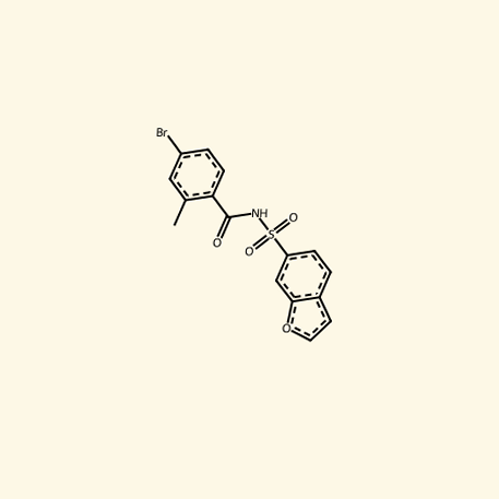 Cc1cc(Br)ccc1C(=O)NS(=O)(=O)c1ccc2ccoc2c1